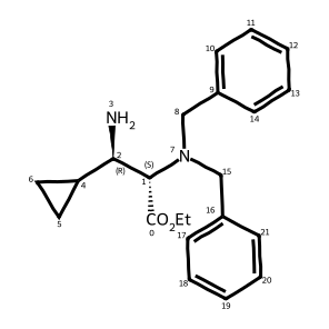 CCOC(=O)[C@H]([C@H](N)C1CC1)N(Cc1ccccc1)Cc1ccccc1